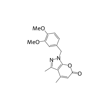 COc1ccc(Cn2nc(C)c3c(C)cc(=O)oc32)cc1OC